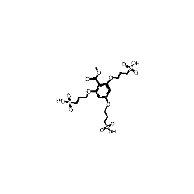 COC(=O)c1c(OCCCS(=O)(=O)O)cc(OCCCS(=O)(=O)O)cc1OCCCS(=O)(=O)O